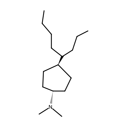 CCCCC(CCC)[C@H]1CC[C@H](N(C)C)CC1